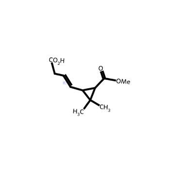 COC(=O)C1C(/C=C/CC(=O)O)C1(C)C